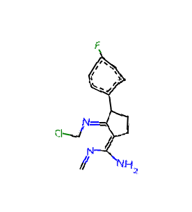 C=N/C(N)=C1/CCC(c2ccc(F)cc2)/C1=N/CCl